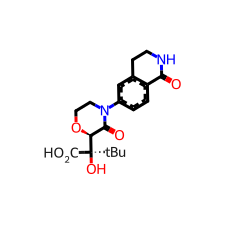 CC(C)(C)[C@](O)(C(=O)O)[C@H]1OCCN(c2ccc3c(c2)CCNC3=O)C1=O